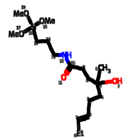 CCC=CCCC(C)(O)CCC(=O)NCCC[Si](OC)(OC)OC